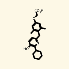 Cc1cc(OCC(=O)O)cc(C)c1Cc1ccc(O)c(C2CCCCC2)n1